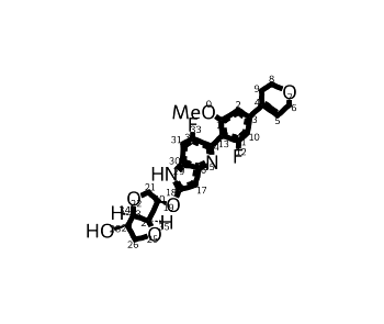 COc1cc(C2=CCOCC2)cc(F)c1-c1nc2cc(O[C@@H]3CO[C@H]4[C@@H]3OC[C@H]4O)[nH]c2cc1F